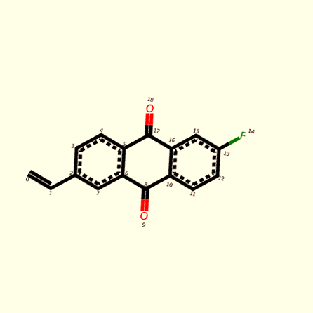 C=Cc1ccc2c(c1)C(=O)c1ccc(F)cc1C2=O